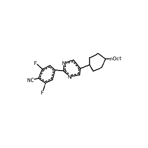 CCCCCCCCC1CCC(c2cnc(-c3cc(F)c(C#N)c(F)c3)nc2)CC1